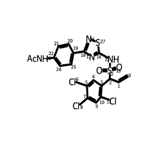 C=CC(c1cc(Cl)c(Cl)cc1Cl)S(=O)(=O)Nc1nc(-c2ccc(NC(C)=O)cc2)ns1